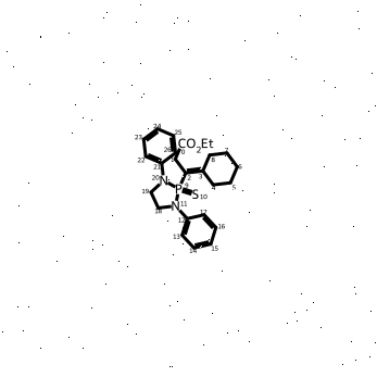 CCOC(=O)CC(=C1CCCCC1)P1(=S)N(c2ccccc2)CCN1c1ccccc1